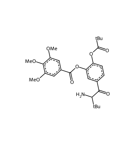 COc1cc(C(=O)Oc2cc(C(=O)C(N)C(C)(C)C)ccc2OC(=O)C(C)(C)C)cc(OC)c1OC